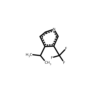 CC(C)c1ccncc1C(F)(F)F